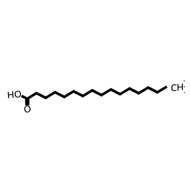 CCCCCCCCCCCCCCCC(=O)O.[CH]